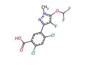 Cn1nc(-c2cc(C(=O)O)c(Cl)cc2Cl)c(F)c1OC(F)F